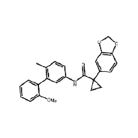 COc1ccccc1-c1cc(NC(=O)C2(c3ccc4c(c3)OCO4)CC2)ccc1C